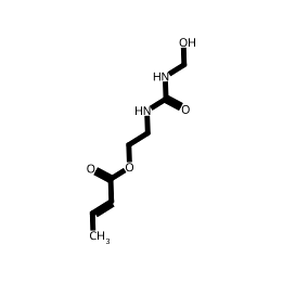 CC=CC(=O)OCCNC(=O)NCO